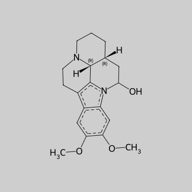 COc1cc2c3c4n(c2cc1OC)C(O)C[C@H]1CCCN(CC3)[C@@H]41